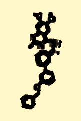 COc1cc2nc(C)nc(N[C@H](C)c3cccc(-c4cccc(OCc5ccccc5)c4)c3)c2cc1OC